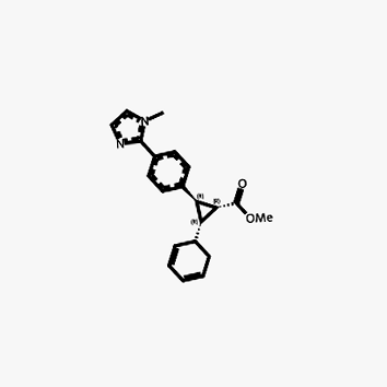 COC(=O)[C@H]1[C@H](c2ccc(-c3nccn3C)cc2)[C@H]1C1C=CC=CC1